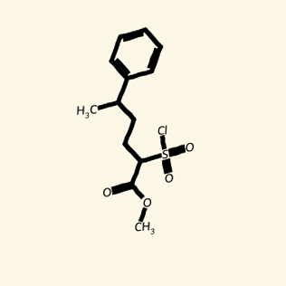 COC(=O)C(CCC(C)c1ccccc1)S(=O)(=O)Cl